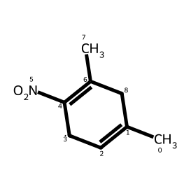 CC1=C[CH]C([N+](=O)[O-])=C(C)C1